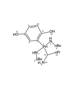 CCCCN[PH](NCCCC)(c1cc(O)ccc1O)C(N)CCC